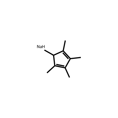 C[C]1C(C)=C(C)C(C)=C1C.[NaH]